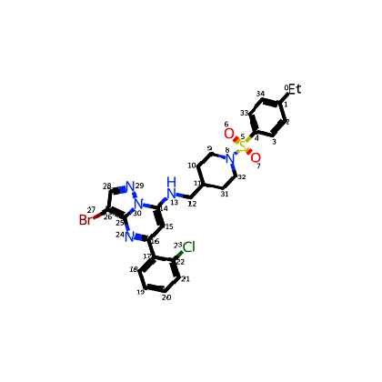 CCc1ccc(S(=O)(=O)N2CCC(CNc3cc(-c4ccccc4Cl)nc4c(Br)cnn34)CC2)cc1